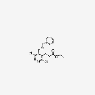 CCOC(=O)CSc1c(Cl)nnc(Cl)c1COCc1ccccc1